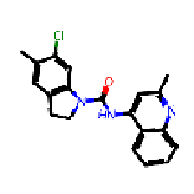 Cc1cc(NC(=O)N2CCc3cc(C)c(Cl)cc32)c2ccccc2n1